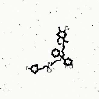 COc1cc2c(cc1C)CCN(CCCC(CCCNC(=O)CCc1ccc(F)cc1)(c1ccccc1)c1ccccc1)C2C.Cl